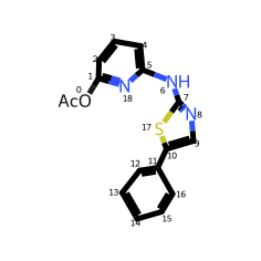 CC(=O)Oc1cccc(Nc2ncc(-c3ccccc3)s2)n1